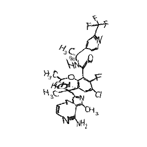 Cc1nc(C(C)(O)c2cc(Cl)c(F)c(C(=O)N[C@H](C)c3ccnc(C(F)(F)F)c3)c2OC(C)C)n2ccnc(N)c12